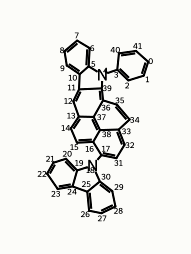 c1ccc(-n2c3ccccc3c3cc4ccc5c(-n6c7ccccc7c7ccccc76)ccc6ccc(c4c65)c32)cc1